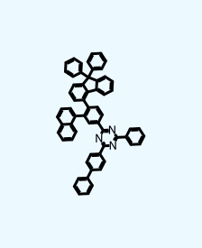 c1ccc(-c2ccc(-c3nc(-c4ccccc4)nc(-c4ccc(-c5cccc6c5-c5ccccc5C6(c5ccccc5)c5ccccc5)c(-c5cccc6ccccc56)c4)n3)cc2)cc1